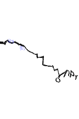 C=C/C=C\C=C\CCCCCCCCC(=O)CCC